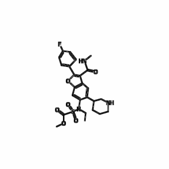 CCN(c1cc2oc(-c3ccc(F)cc3)c(C(=O)NC)c2cc1C1CCCNC1)S(=O)(=O)C(=O)OC